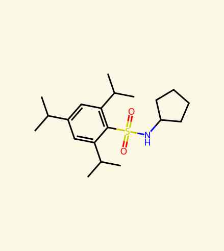 CC(C)c1cc(C(C)C)c(S(=O)(=O)NC2CCCC2)c(C(C)C)c1